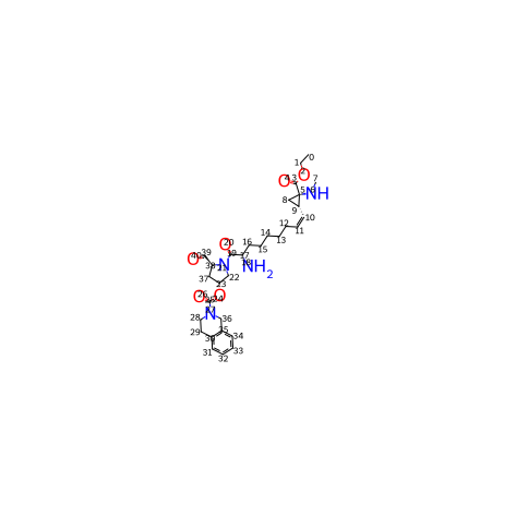 CCOC(=O)[C@@]1(NC)C[C@H]1/C=C\CCCCC[C@H](N)C(=O)N1C[C@H](OC(=O)N2CCc3ccccc3C2)C[C@H]1C=O